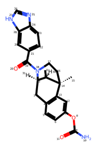 C[C@@H]1[C@H]2Cc3ccc(OC(N)=O)cc3[C@]1(C)CCN2C(=O)c1ccc2nc[nH]c2c1